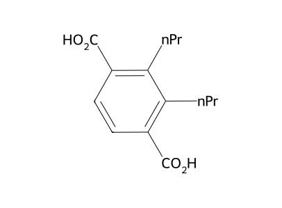 CCCc1c(C(=O)O)ccc(C(=O)O)c1CCC